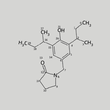 CCC(C)c1cc(CN2CCCC2=O)cc(C(C)CC)c1O